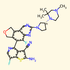 CN1CCN([C@@H]2CCN(c3ncc4c5c(c(-c6ncc(F)c7sc(N)c(C#N)c67)c(F)c4n3)COC5)C2)C(C)(C)C1